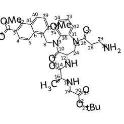 COC(=O)c1ccc2c(CN3C(=O)[C@@H](NC(=O)[C@H](C)NCC(=O)OC(C)(C)C)CN(C(=O)CCN)c4ccccc43)c(OC)ccc2c1